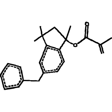 C=C(C)C(=O)OC1(C)CC(C)(C)c2cc(Cc3ccccc3)ccc21